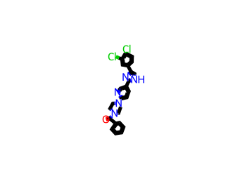 O=C(c1ccccc1)N1CCN(c2ccc(-c3nc(-c4ccc(Cl)c(Cl)c4)c[nH]3)cn2)CC1